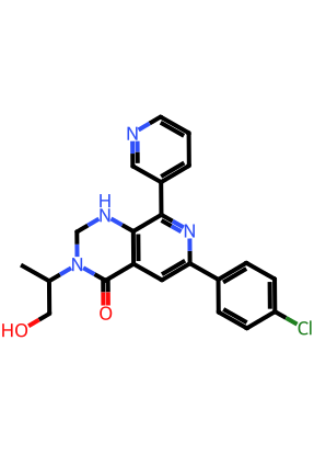 CC(CO)N1CNc2c(cc(-c3ccc(Cl)cc3)nc2-c2cccnc2)C1=O